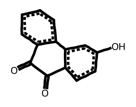 O=C1C(=O)c2ccc(O)cc2-c2ccccc21